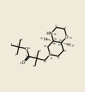 CC(C)(C)OC(=O)C(C)(C)CN1CC[C@@H]2OCCN[C@@H]2C1